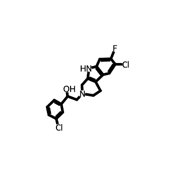 OC(CN1CCc2c([nH]c3cc(F)c(Cl)cc23)C1)c1cccc(Cl)c1